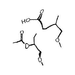 COCC(C)CC(=O)O.COCC(C)OC(C)=O